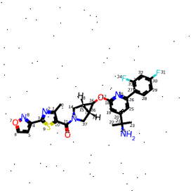 Cc1nc(-c2ccon2)sc1C(=O)N1C[C@@H]2C(Oc3cc(C(C)(C)N)cc(-c4ccc(F)cc4F)n3)[C@@H]2C1